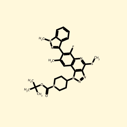 CSc1nc2c(F)c(-c3nn(C)c4ccccc34)c(C)cc2c2c1nnn2C1CCN(C(=O)OC(C)(C)C)CC1